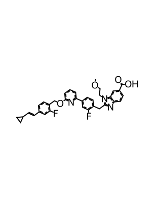 COCCn1c(Cc2ccc(-c3cccc(OCc4ccc(C=CC5CC5)cc4F)n3)cc2F)nc2ccc(C(=O)O)cc21